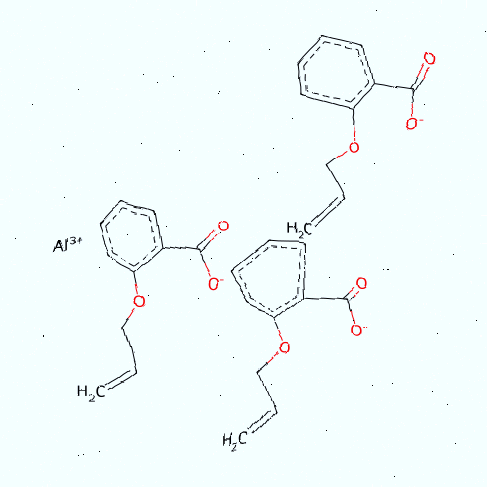 C=CCOc1ccccc1C(=O)[O-].C=CCOc1ccccc1C(=O)[O-].C=CCOc1ccccc1C(=O)[O-].[Al+3]